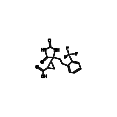 O=C1NC(=O)C(CCc2ccccc2C(F)(F)F)(C2CC2C(=O)O)N1